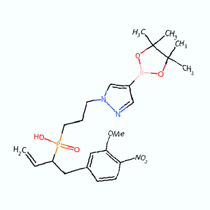 C=CC(Cc1ccc([N+](=O)[O-])c(OC)c1)P(=O)(O)CCCn1cc(B2OC(C)(C)C(C)(C)O2)cn1